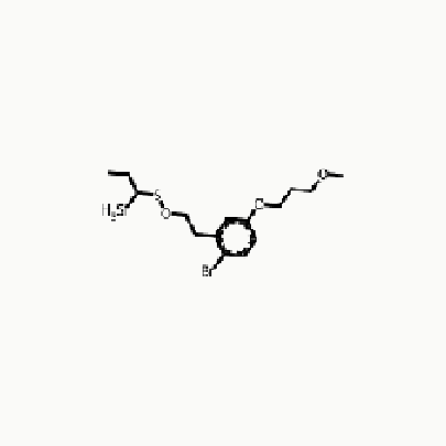 CCC([SiH3])SOCCc1cc(OCCCOC)ccc1Br